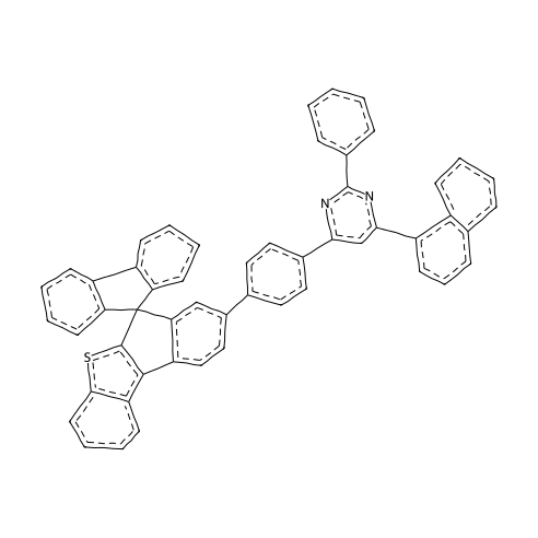 c1ccc(-c2nc(-c3ccc(-c4ccc5c(c4)C4(c6ccccc6-c6ccccc64)c4sc6ccccc6c4-5)cc3)cc(-c3cccc4ccccc34)n2)cc1